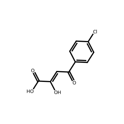 O=C(O)C(O)=CC(=O)c1ccc(Cl)cc1